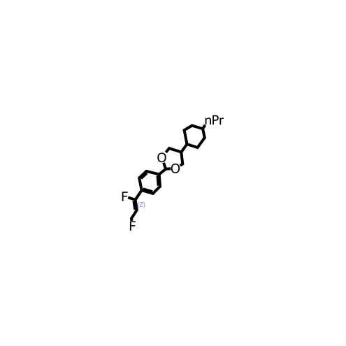 CCCC1CCC(C2COC(c3ccc(/C(F)=C/CF)cc3)OC2)CC1